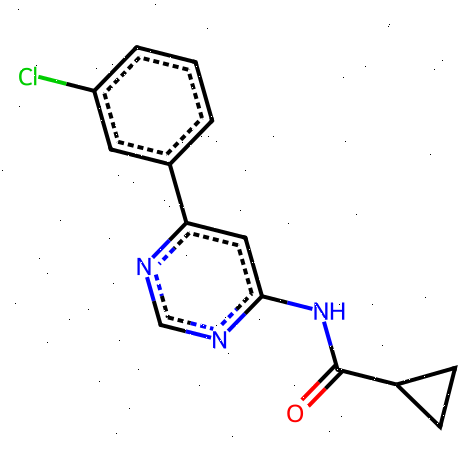 O=C(Nc1cc(-c2cccc(Cl)c2)ncn1)C1CC1